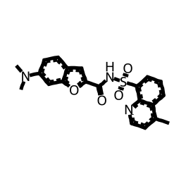 Cc1ccnc2c(S(=O)(=O)NC(=O)c3cc4ccc(N(C)C)cc4o3)cccc12